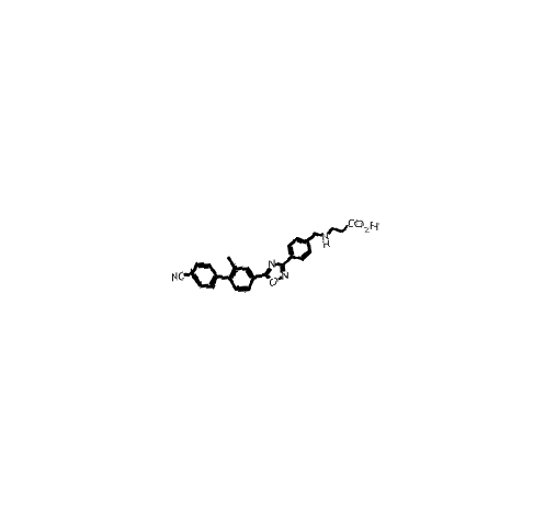 Cc1cc(-c2nc(-c3ccc(CNCCC(=O)O)cc3)no2)ccc1-c1ccc(C#N)cc1